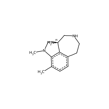 Cc1ccc2c3c1N(C)C[C@]3(N)CNCC2